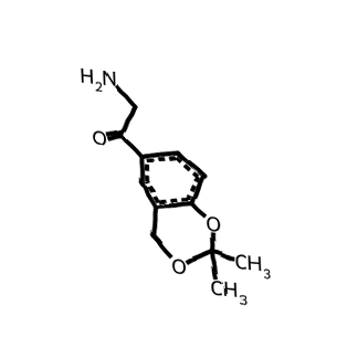 CC1(C)OCc2cc(C(=O)CN)ccc2O1